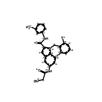 Cc1cccc(NC(=O)c2cc3cc(NC(=O)CC(C)(C)C)ccc3n2Cc2c(F)cccc2F)c1